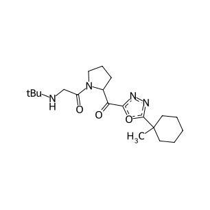 CC(C)(C)NCC(=O)N1CCCC1C(=O)c1nnc(C2(C)CCCCC2)o1